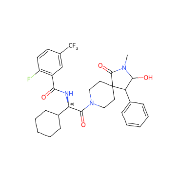 CN1C(=O)C2(CCN(C(=O)[C@H](NC(=O)c3cc(C(F)(F)F)ccc3F)C3CCCCC3)CC2)C(c2ccccc2)C1O